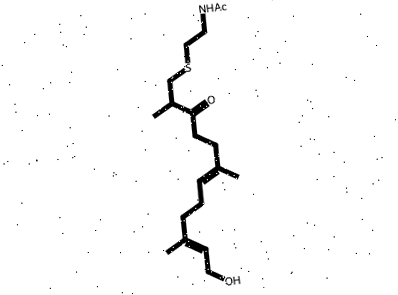 CC(=O)NCCSCC(C)C(=O)CCC(C)=CCCC(C)=CCO